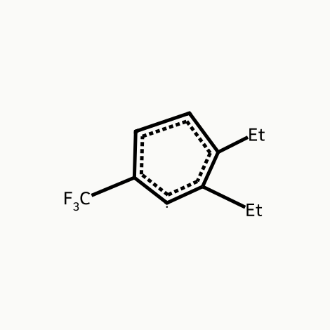 CCc1[c]c(C(F)(F)F)ccc1CC